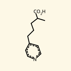 CC(CCCc1ccncc1)C(=O)O